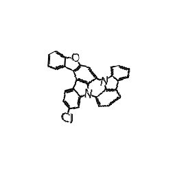 Clc1ccc2c3c4c(cc5c3n(c2c1)c1cccc2c3ccccc3n5c21)oc1ccccc14